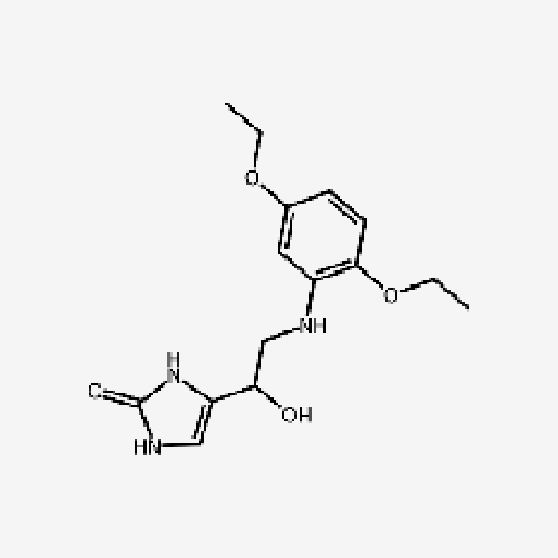 CCOc1ccc(OCC)c(NCC(O)c2c[nH]c(=O)[nH]2)c1